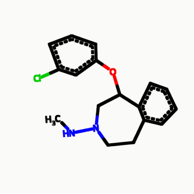 CNN1CCc2ccccc2C(Oc2cccc(Cl)c2)C1